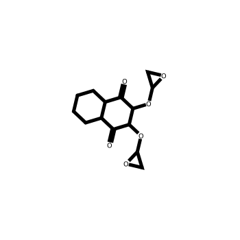 O=C1C2CCCCC2C(=O)C(OC2CO2)C1OC1CO1